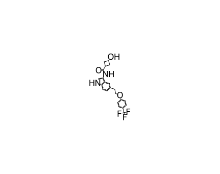 O=C(Nc1c[nH]c2ccc(CCOc3ccc(C(F)(F)F)cc3)cc12)C1CC(O)C1